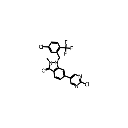 Cn1c(=O)c2ccc(-c3cnc(Cl)nc3)cc2n1Cc1cc(Cl)ccc1C(F)(F)F